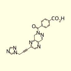 O=C(O)c1ccc(C(=O)N2Cc3nc(C#CCn4cncn4)cnc3C=N2)cc1